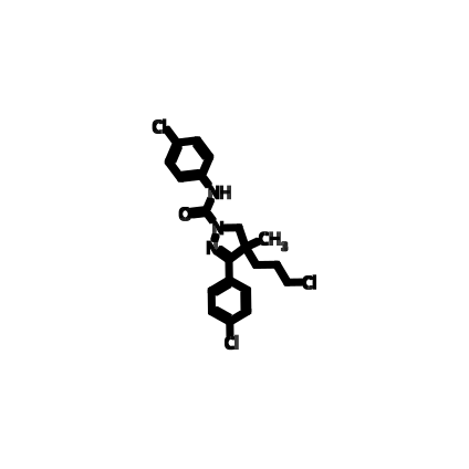 CC1(CCCCl)CN(C(=O)Nc2ccc(Cl)cc2)N=C1c1ccc(Cl)cc1